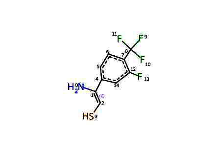 N/C(=C\S)c1ccc(C(F)(F)F)c(F)c1